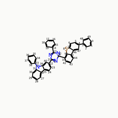 c1ccc(-c2ccc3sc4c(-c5nc(-c6ccccc6)nc(-c6ccc7c8ccccc8n(-c8ccccc8)c7c6)n5)cccc4c3c2)cc1